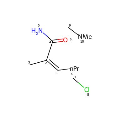 CCCC=C(C)C(N)=O.CCl.CNC